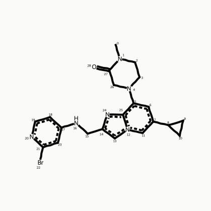 CN1CCN(c2cc(C3CC3)cn3cc(CNc4ccnc(Br)c4)nc23)CC1=O